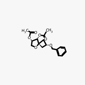 CC(=O)O[C@H]1CO[C@]2(C[C@@H](OCc3ccccc3)C2)[C@H]1OC(C)=O